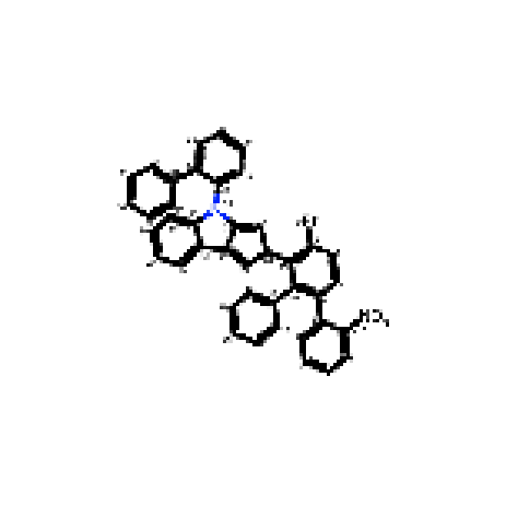 CCc1ccc(-c2ccccc2[N+](=O)[O-])c(-c2ccccc2)c1C1C=c2c(n(-c3ccccc3-c3ccccc3)c3ccccc23)=C1